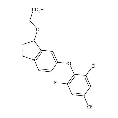 O=C(O)COC1CCc2ccc(Oc3c(F)cc(C(F)(F)F)cc3Cl)cc21